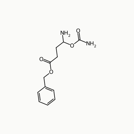 NC(=O)OC(N)CCC(=O)OCc1ccccc1